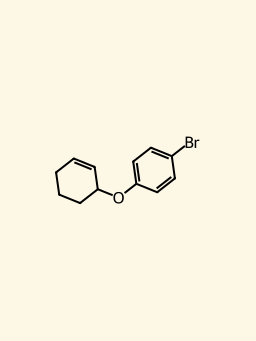 Brc1ccc(OC2C=CCCC2)cc1